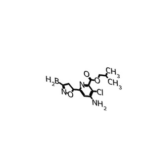 BC1=NOC(c2cc(N)c(Cl)c(C(=O)OCC(C)C)n2)C1